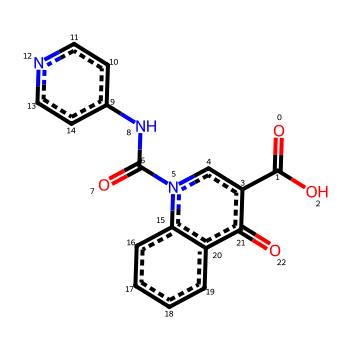 O=C(O)c1cn(C(=O)Nc2ccncc2)c2ccccc2c1=O